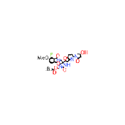 COc1ccc2c(c1F)C(=O)N(C[C@@]1(c3cc4nc(N5C[C@H](O)CC5=O)ccc4o3)NC(=O)N(COC(=O)C(C)(C)C)C1=O)C2